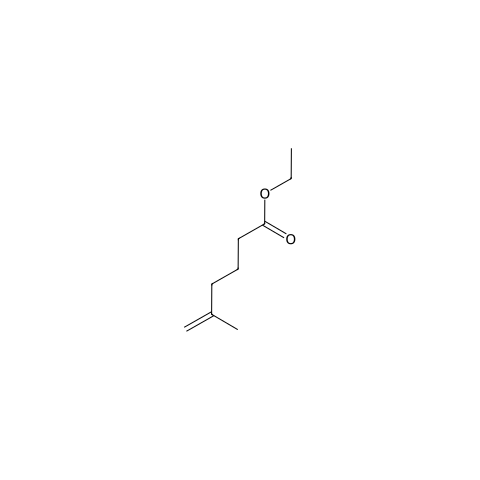 C=C(C)CCCC(=O)OCC